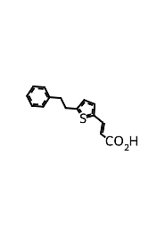 O=C(O)C=Cc1ccc(CCc2ccccc2)s1